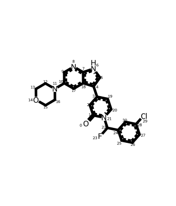 O=c1cc(-c2c[nH]c3ncc(N4CCOCC4)cc23)ccn1C(F)c1cccc(Cl)c1